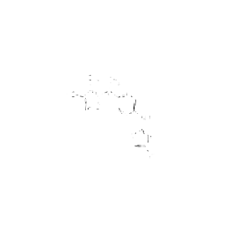 Cc1c(O)noc1[C@H](C)c1ccc(Nc2nc(C(F)(F)F)cs2)cc1